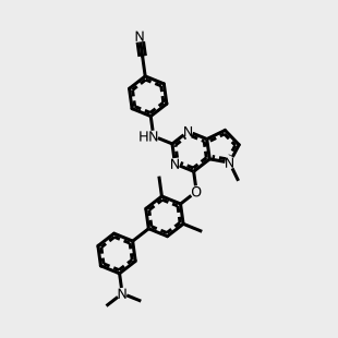 Cc1cc(-c2cccc(N(C)C)c2)cc(C)c1Oc1nc(Nc2ccc(C#N)cc2)nc2ccn(C)c12